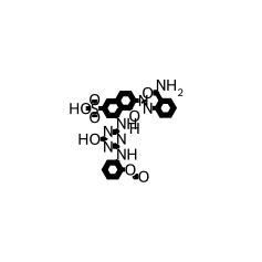 NC(=O)c1ccccc1N=Nc1ccc2cc(S(=O)(=O)O)cc(Nc3nc(O)nc(Nc4ccccc4OC=O)n3)c2c1O